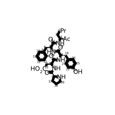 CC(=O)[C@H](CC(C)C)NC(=O)[C@H](Cc1ccccc1)NC(=O)[C@H](Cc1ccc(O)cc1)NC(=O)[C@H](CC(=O)O)NC(=O)[C@@H]1CCCN1